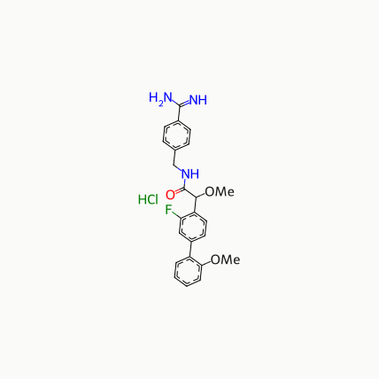 COc1ccccc1-c1ccc(C(OC)C(=O)NCc2ccc(C(=N)N)cc2)c(F)c1.Cl